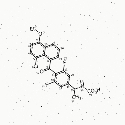 CCOc1ncc(Cl)c2c(C(=O)c3c(F)cc(C(C)NC(=O)O)cc3F)cccc12